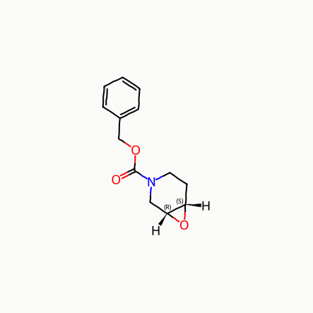 O=C(OCc1ccccc1)N1CC[C@@H]2O[C@@H]2C1